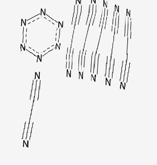 N#CC#N.N#CC#N.N#CC#N.N#CC#N.N#CC#N.N#CC#N.n1nnnnn1